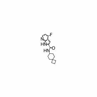 O=C(NC1CCC2(CCC2)CC1)c1cc2c(F)ccnc2[nH]1